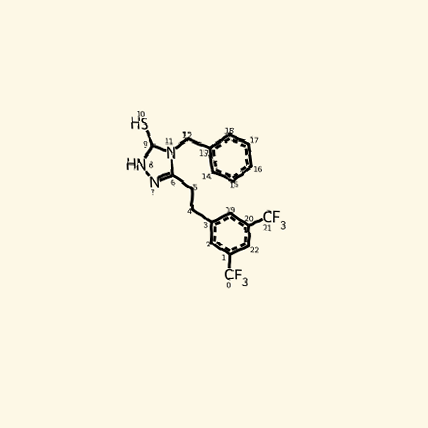 FC(F)(F)c1cc(CCC2=NNC(S)N2Cc2ccccc2)cc(C(F)(F)F)c1